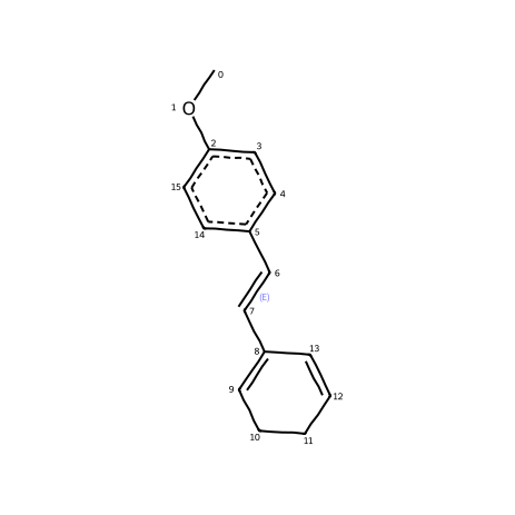 COc1ccc(/C=C/C2=CCCC=C2)cc1